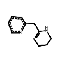 c1ccc(CC2=NCCCN2)nc1